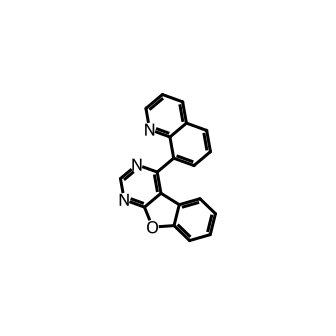 c1cnc2c(-c3ncnc4oc5ccccc5c34)cccc2c1